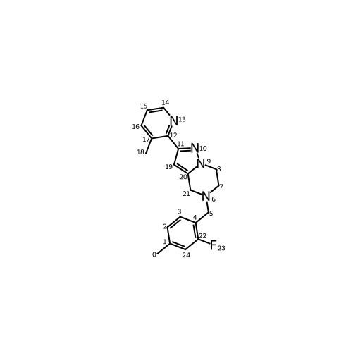 Cc1ccc(CN2CCn3nc(-c4ncccc4C)cc3C2)c(F)c1